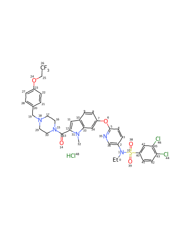 CCN(c1ccc(Oc2ccc3cc(C(=O)N4CCN(Cc5ccc(OCC(F)(F)F)cc5)CC4)n(C)c3c2)nc1)S(=O)(=O)c1ccc(Cl)c(Cl)c1.Cl